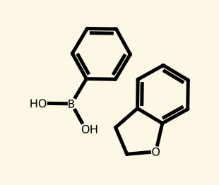 OB(O)c1ccccc1.c1ccc2c(c1)CCO2